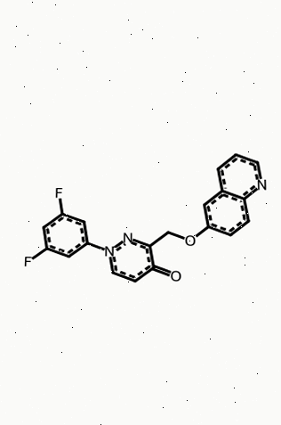 O=c1ccn(-c2cc(F)cc(F)c2)nc1COc1ccc2ncccc2c1